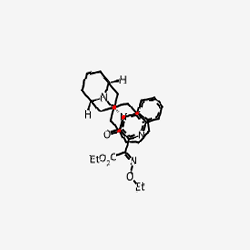 CCON=C(C(=O)OCC)c1nc2ccccc2n([C@H]2C[C@H]3CCC[C@@H](C2)N3C2CC3CCCCC(C3)C2)c1=O